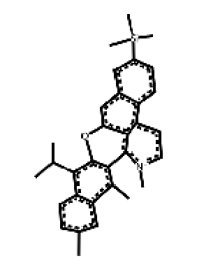 Cc1ccc2c(C(C)C)c3c(c(C)c2c1)-c1c2c(cc4cc([Si](C)(C)C)ccc4c2cc[n+]1C)O3